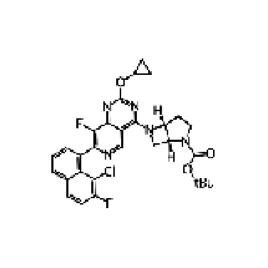 CC(C)(C)OC(=O)N1CC[C@@H]2[C@H]1CN2c1nc(OC2CC2)nc2c(F)c(-c3cccc4ccc(F)c(Cl)c34)ncc12